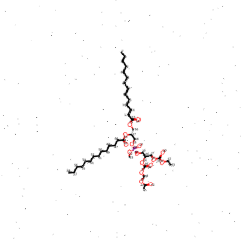 CCCCCCCCCCCCCC(=O)OC[C@H](COP(=O)(OC)OCC(COC(=O)OCC)OC(=O)OCOC(C)=O)OC(=O)CCCCCCCCCCCCC